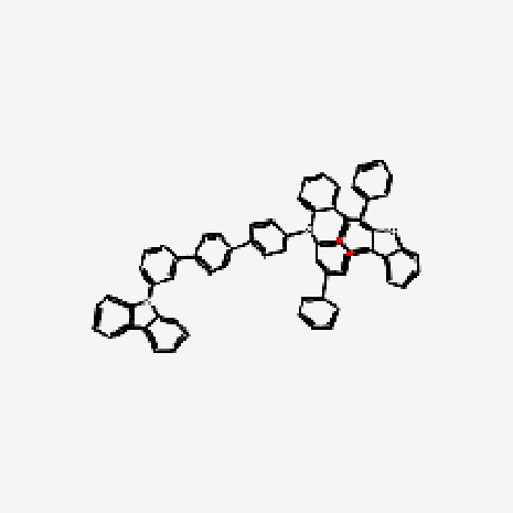 c1ccc(-c2cccc(N(c3ccc(-c4ccc(-c5cccc(-n6c7ccccc7c7ccccc76)c5)cc4)cc3)c3ccccc3-c3ccc4c(oc5ccccc54)c3-c3ccccc3)c2)cc1